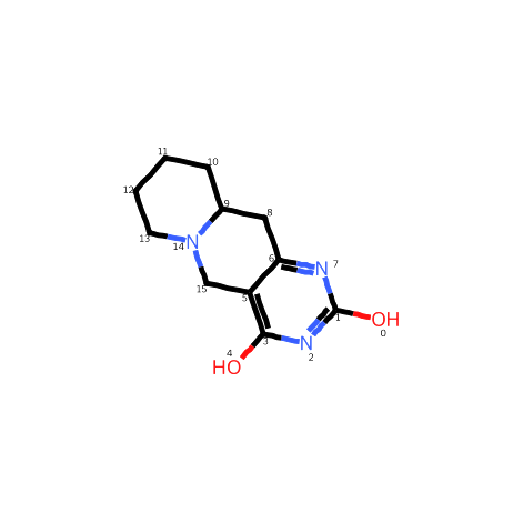 Oc1nc(O)c2c(n1)CC1CCCCN1C2